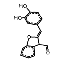 O=CC1/C(=C/c2ccc(O)c(O)c2)Oc2ccccc21